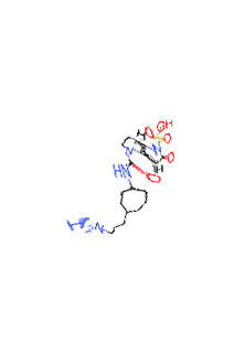 NCCCC1CCCC(NC(=O)N2CC[C@@H]3[C@H]2C(=O)N3S(=O)(=O)O)CC1